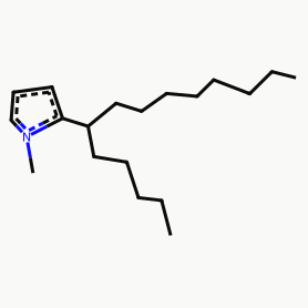 CCCCCCCCC(CCCCC)c1cccn1C